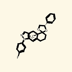 C[C@]12Cc3cnn(-c4ccc(F)cc4)c3C=C1CCCC21OC[C@H](c2ccccc2)O1